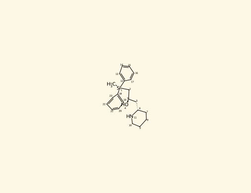 C[Si](C[C@H](O)C[C@@H]1CCCCN1)(c1ccccc1)c1ccccc1